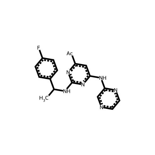 CC(=O)c1cc(Nc2cnccn2)nc(NC(C)c2ccc(F)cc2)n1